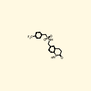 CCCN1C(=O)CCc2cc(CNS(=O)(=O)Cc3ccc(C(F)(F)F)cc3)ccc21